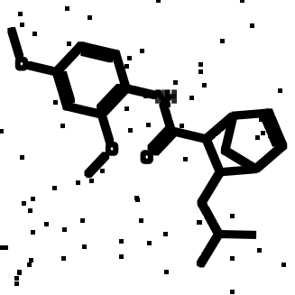 COc1ccc(NC(=O)C2C3C=CC(C3)C2CC(C)C)c(OC)c1